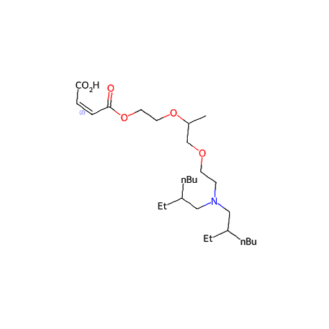 CCCCC(CC)CN(CCOCC(C)OCCOC(=O)/C=C\C(=O)O)CC(CC)CCCC